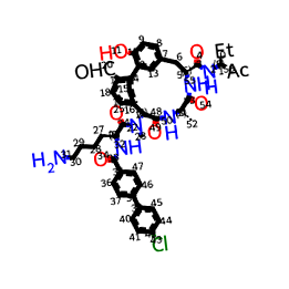 CC[C@H](NC(=O)[C@@H]1Cc2ccc(O)c(c2)-c2cc(ccc2C=O)[C@H](N(C)C(=O)[C@H](CCCCN)NC(=O)c2ccc(-c3ccc(Cl)cc3)cc2)C(=O)N[C@@H](C)C(=O)N1)C(C)=O